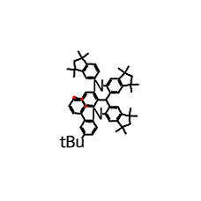 Cc1cc2c3c(c1)N(c1ccc(C(C)(C)C)cc1-c1ccccc1)c1cc4c(cc1C3c1cc3c(cc1N2c1ccc2c(c1)C(C)(C)CC2(C)C)C(C)(C)CC3(C)C)C(C)(C)CC4(C)C